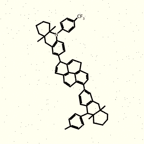 Cc1ccc(C2c3ccc(-c4ccc5c6c7c(ccc46)C=CC(c4ccc6c(c4)CC4(C)CCCCC4(C)N6c4ccc(C(F)(F)F)cc4)C7=CC5)cc3CC3(C)CCCCC23C)cc1